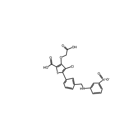 O=C(O)COc1c(C(=O)O)sc(-c2cccc(CNc3cccc([N+](=O)[O-])c3)c2)c1Cl